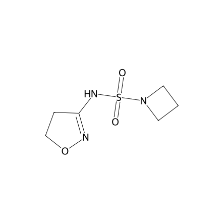 O=S(=O)(NC1=NOCC1)N1CCC1